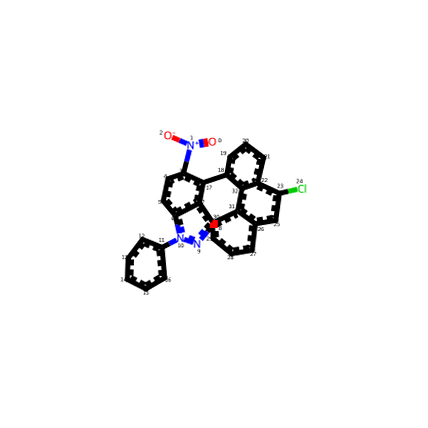 O=[N+]([O-])c1ccc2c(cnn2-c2ccccc2)c1-c1cccc2c(Cl)cc3ccccc3c12